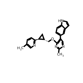 Cc1ccc([C@H]2C[C@@H]2COc2nc(C)ncc2-c2ccc3[nH]ccc3c2)nc1